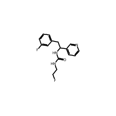 O=C(NCCF)NC(Cc1cccc(F)c1)c1cccnc1